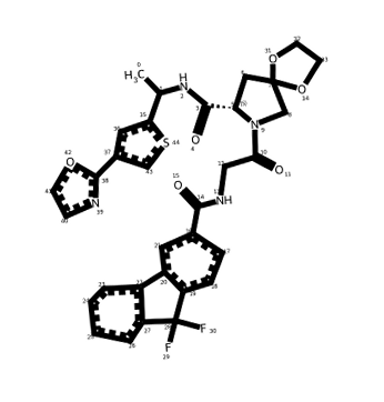 CC(NC(=O)[C@@H]1CC2(CN1C(=O)CNC(=O)c1ccc3c(c1)-c1ccccc1C3(F)F)OCCO2)c1cc(-c2ncco2)cs1